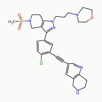 CS(=O)(=O)N1CCc2c(c(-c3ccc(Cl)c(C#Cc4cnc5c(c4)CNCC5)c3)nn2CCCN2CCOCC2)C1